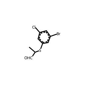 CC(C=O)Sc1cc(Cl)cc(Br)c1